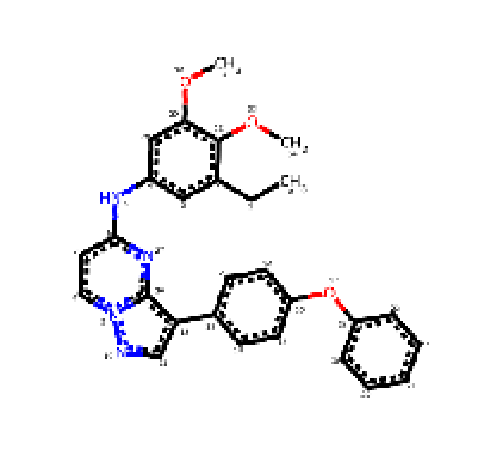 CCc1cc(Nc2ccn3ncc(-c4ccc(Oc5ccccc5)cc4)c3n2)cc(OC)c1OC